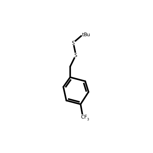 CC(C)(C)SSCc1ccc(C(F)(F)F)cc1